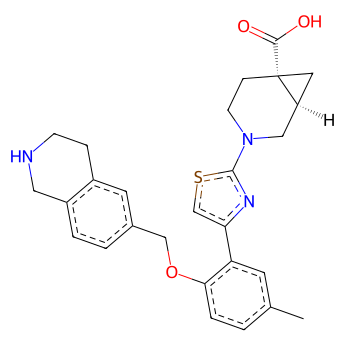 Cc1ccc(OCc2ccc3c(c2)CCNC3)c(-c2csc(N3CC[C@@]4(C(=O)O)C[C@H]4C3)n2)c1